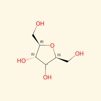 OC[C@@H]1O[C@H](CO)[C@@H](O)[C]1O